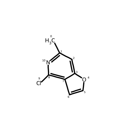 Cc1cc2occc2c(Cl)n1